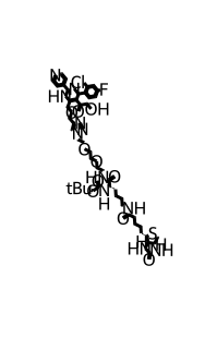 CC(C)(C)OC(=O)N[C@@H](CCCCNC(=O)CCCC[C@@H]1SC[C@@H]2NC(=O)N[C@@H]21)C(=O)NCCOCCOCCn1cc(COCC2=C(C(=O)CO)C(c3ccc(F)cc3Cl)N=C(c3ccncc3)N2)nn1